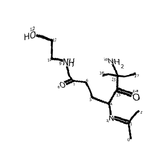 CC(C)=NC(CCC(=O)NCCO)C(=O)C(C)(C)N